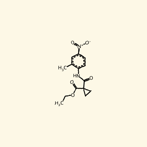 CCOC(=O)C1(C(=O)Nc2ccc([N+](=O)[O-])cc2C)CC1